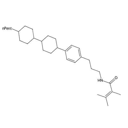 CCCCCC1CCC(C2CCC(c3ccc(CCCNC(=O)C(C)=C(C)C)cc3)CC2)CC1